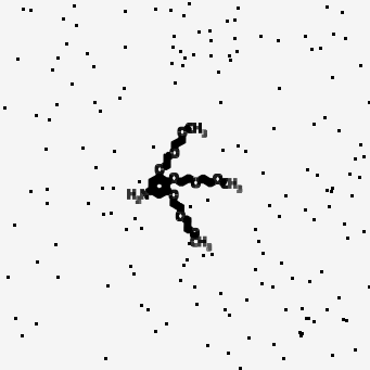 COCCOCCOc1cc(N)cc(OCCOCCOC)c1OCCOCCOC